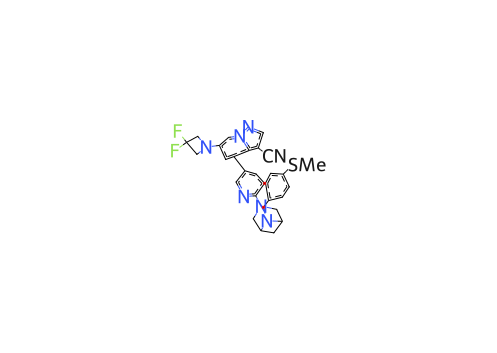 CSc1ccc(CN2C3CC2CN(c2ccc(-c4cc(N5CC(F)(F)C5)cn5ncc(C#N)c45)cn2)C3)cc1